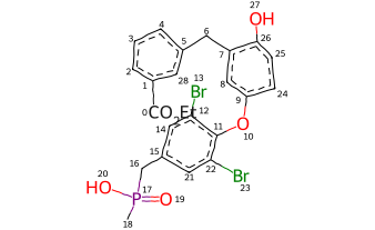 CCOC(=O)c1cccc(Cc2cc(Oc3c(Br)cc(CP(C)(=O)O)cc3Br)ccc2O)c1